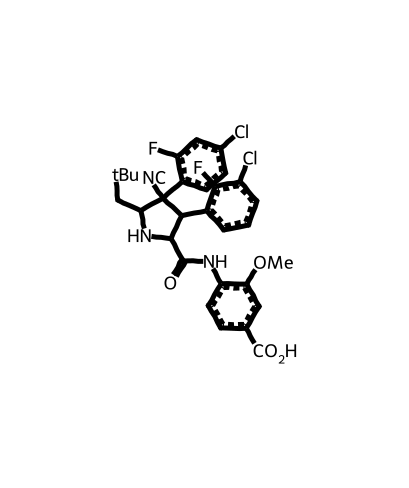 COc1cc(C(=O)O)ccc1NC(=O)C1NC(CC(C)(C)C)C(C#N)(c2ccc(Cl)cc2F)C1c1cccc(Cl)c1F